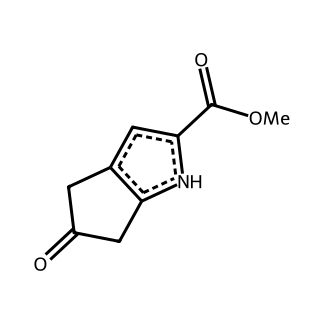 COC(=O)c1cc2c([nH]1)CC(=O)C2